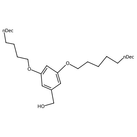 CCCCCCCCCCCCCCCOc1cc(CO)cc(OCCCCCCCCCCCCCC)c1